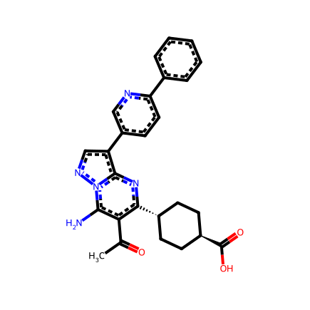 CC(=O)c1c(N)n2ncc(-c3ccc(-c4ccccc4)nc3)c2nc1[C@H]1CC[C@H](C(=O)O)CC1